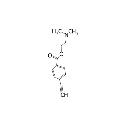 C#Cc1ccc(C(=O)OCCN(C)C)cc1